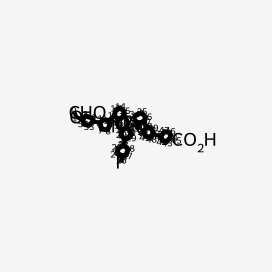 O=COc1ccc(-c2ccc3c(c2)c2cccc4c2n3-c2cc(-c3ccc(F)cc3)cc3c2B4c2cccc4c5cc(-c6ccc(C(=O)O)cc6)ccc5n-3c24)cc1